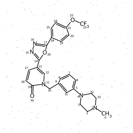 CN1CCN(c2cccc(Cn3cc(-c4nnc(-c5ccc(OC(F)(F)F)cc5)o4)ccc3=O)c2)CC1